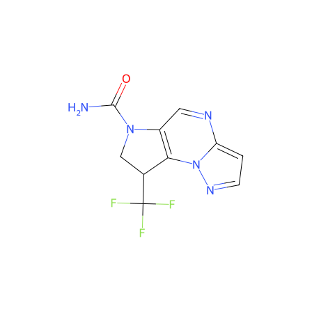 NC(=O)N1CC(C(F)(F)F)c2c1cnc1ccnn21